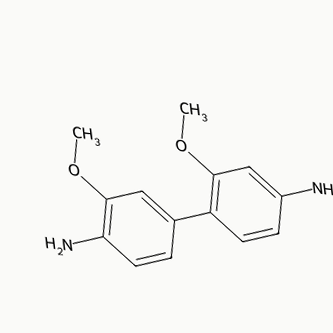 COc1cc(-c2ccc(N)cc2OC)ccc1N